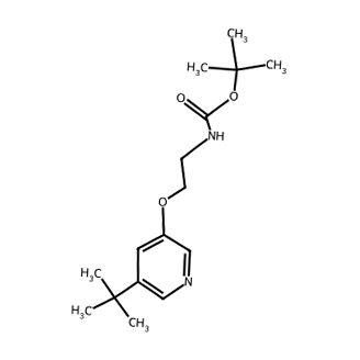 CC(C)(C)OC(=O)NCCOc1cncc(C(C)(C)C)c1